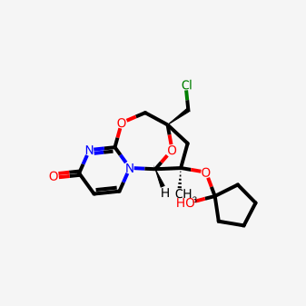 C[C@@]1(OC2(O)CCCC2)C[C@@]2(CCl)COc3nc(=O)ccn3[C@@H]1O2